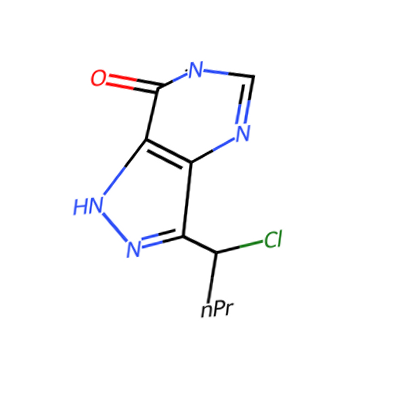 CCCC(Cl)c1n[nH]c2c1N=C[N]C2=O